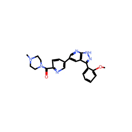 COc1ccccc1-c1n[nH]c2ncc(-c3ccc(C(=O)N4CCN(C)CC4)nc3)cc12